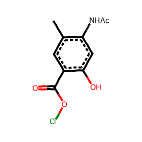 CC(=O)Nc1cc(O)c(C(=O)OCl)cc1C